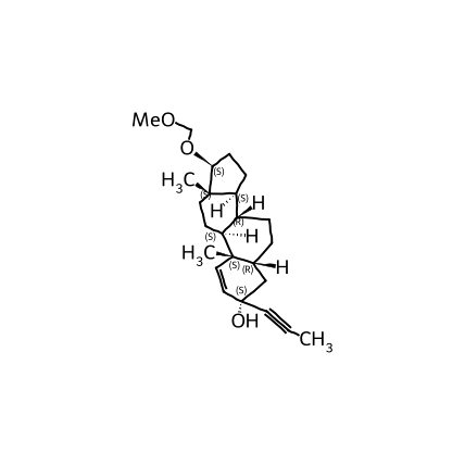 CC#C[C@@]1(O)C=C[C@@]2(C)[C@H](CC[C@@H]3[C@@H]2CC[C@]2(C)[C@@H](OCOC)CC[C@@H]32)C1